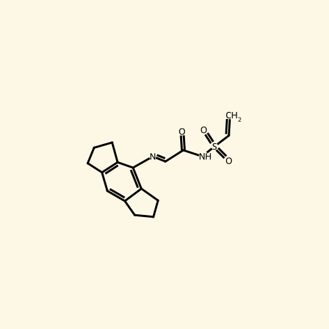 C=CS(=O)(=O)NC(=O)/C=N/c1c2c(cc3c1CCC3)CCC2